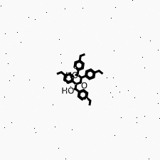 CCc1ccc(C(O)C(C(=O)C(c2ccc(CC)cc2)C(O)c2ccc(CC)cc2)c2ccc(CC)cc2)cc1